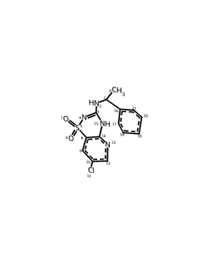 CC(NC1=NS(=O)(=O)c2cc(Cl)cnc2N1)c1ccccc1